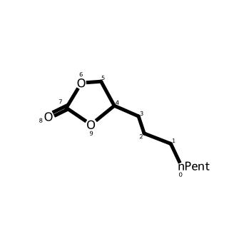 CCCCCCCCC1COC(=O)O1